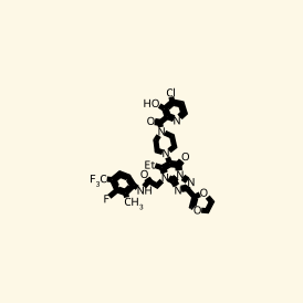 CCc1c(N2CCN(C(=O)c3nccc(Cl)c3O)CC2)c(=O)n2nc(C3=COCCO3)nc2n1CC(=O)Nc1ccc(C(F)(F)F)c(F)c1C